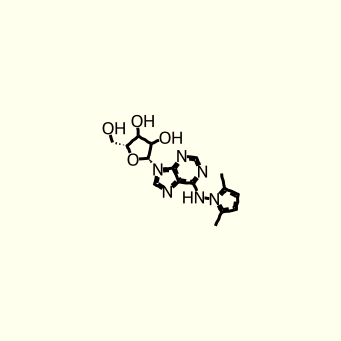 Cc1ccc(C)n1Nc1ncnc2c1ncn2[C@@H]1O[C@H](CO)C(O)C1O